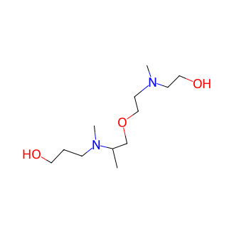 CC(COCCN(C)CCO)N(C)CCCO